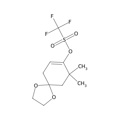 CC1(C)CC2(CC=C1OS(=O)(=O)C(F)(F)F)OCCO2